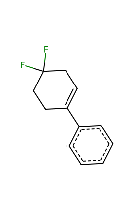 FC1(F)CC=C(c2[c]cccc2)CC1